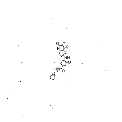 CCC1C(=O)N(C)c2cnc(Nc3ccc(C(=O)NCCN4CCCC4)cc3OC)nc2N1N(C)C